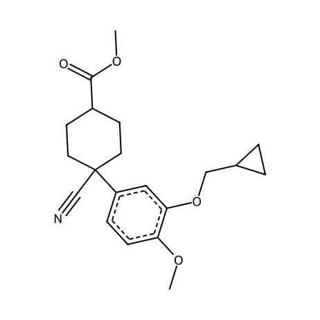 COC(=O)C1CCC(C#N)(c2ccc(OC)c(OCC3CC3)c2)CC1